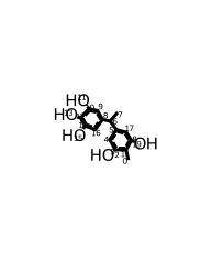 Cc1c(O)cc(C(C)c2cc(O)c(O)c(O)c2)cc1O